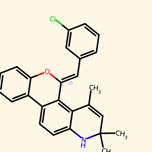 CC1=CC(C)(C)Nc2ccc3c(c21)/C(=C/c1cccc(Cl)c1)Oc1ccccc1-3